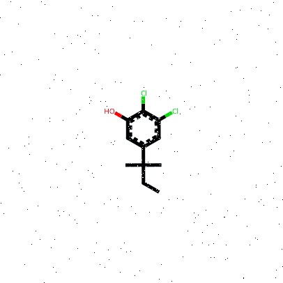 CCC(C)(C)c1cc(O)c(Cl)c(Cl)c1